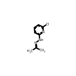 CC(C)=NNc1cccc(Cl)n1